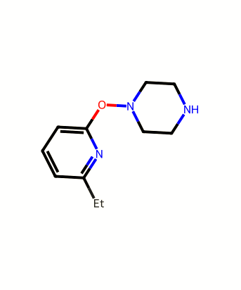 CCc1cccc(ON2CCNCC2)n1